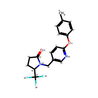 Cc1ccc(Oc2ccc(CN3C(=O)CCC3C(F)(F)F)cn2)cc1